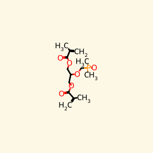 C=C(C)C(=O)OCC(COC(=O)C(=C)C)OCP(C)(C)=O